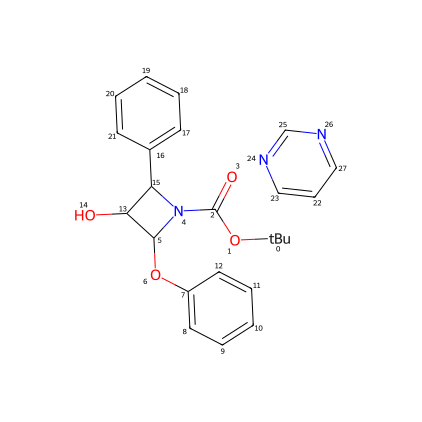 CC(C)(C)OC(=O)N1C(Oc2ccccc2)C(O)C1c1ccccc1.c1cncnc1